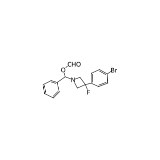 O=COC(c1ccccc1)N1CC(F)(c2ccc(Br)cc2)C1